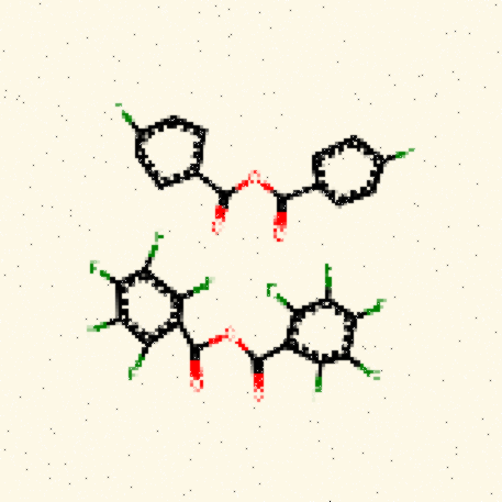 O=C(OC(=O)c1c(F)c(F)c(F)c(F)c1F)c1c(F)c(F)c(F)c(F)c1F.O=C(OC(=O)c1ccc(F)cc1)c1ccc(F)cc1